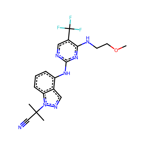 COCCNc1nc(Nc2cccc3c2cnn3C(C)(C)C#N)ncc1C(F)(F)F